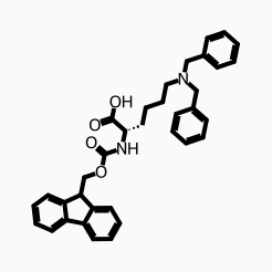 O=C(N[C@@H](CCCCN(Cc1ccccc1)Cc1ccccc1)C(=O)O)OCC1c2ccccc2-c2ccccc21